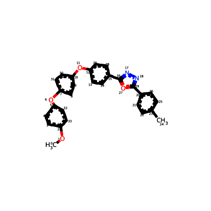 COc1ccc(Oc2ccc(Oc3ccc(-c4nnc(-c5ccc(C)cc5)o4)cc3)cc2)cc1